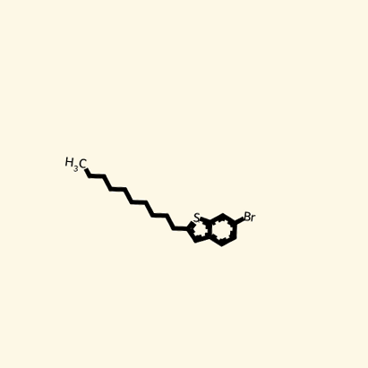 CCCCCCCCCCc1cc2ccc(Br)cc2s1